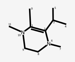 CC1=C(C(C)C)N(C)CCN1C